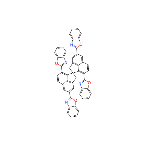 c1ccc2oc(-c3cc4c5c(c(-c6nc7ccccc7o6)ccc5c3)C3(C4)Cc4cc(-c5nc6ccccc6o5)cc5ccc(-c6nc7ccccc7o6)c3c45)nc2c1